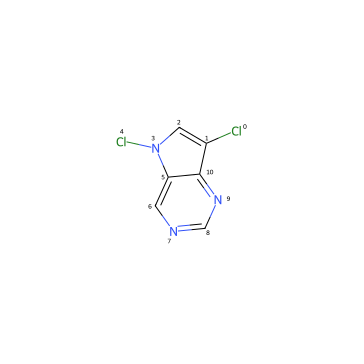 Clc1cn(Cl)c2cncnc12